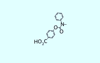 CN(C(=O)Oc1ccc(C(=O)O)cc1)c1ccccc1